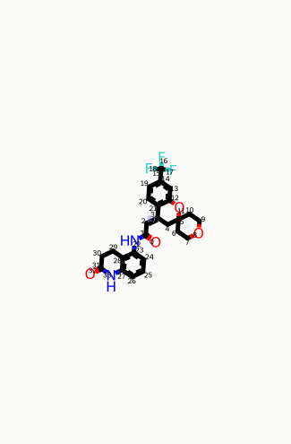 O=C(/C=C1\CC2(CCOCC2)Oc2cc(C(F)(F)F)ccc21)Nc1cccc2c1CCC(=O)N2